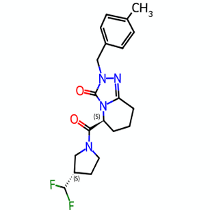 Cc1ccc(Cn2nc3n(c2=O)[C@H](C(=O)N2CC[C@H](C(F)F)C2)CCC3)cc1